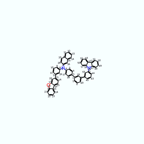 c1cc(-c2ccc(N(c3cccc(-c4ccc5c(c4)oc4ccccc45)c3)c3ccc4ccccc4c3)cc2)cc(-c2cccc(-n3c4ccccc4c4ccccc43)c2)c1